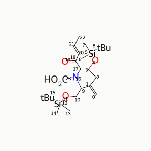 C=C(CCO[Si](C)(C)C(C)(C)C)C(CO[Si](C)(C)C(C)(C)C)N(CC(=O)C=CC)C(=O)O